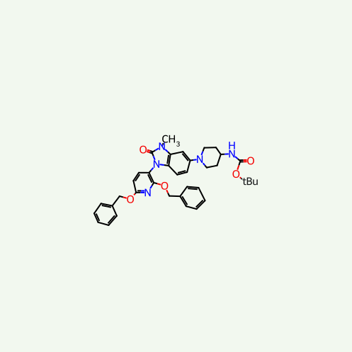 Cn1c(=O)n(-c2ccc(OCc3ccccc3)nc2OCc2ccccc2)c2ccc(N3CCC(NC(=O)OC(C)(C)C)CC3)cc21